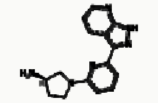 N[C@@H]1CCN(c2cccc(-c3n[nH]c4ncccc34)n2)C1